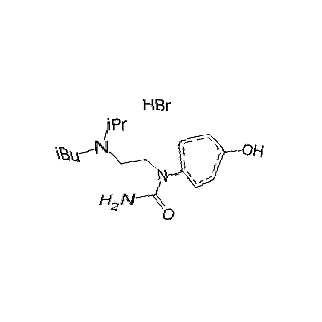 Br.CCC(C)N(CCN(C(N)=O)c1ccc(O)cc1)C(C)C